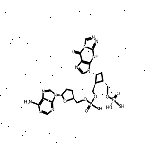 Nc1ncnc2c1ncn2[C@H]1CC[C@@H](COP(=O)(S)OC[C@@H]2[C@@H](CO[P@](=O)(O)S)C[C@H]2n2cnc3c(=O)n4cnnc4[nH]c32)O1